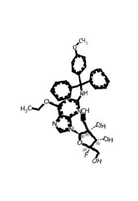 C#C[C@]1(O)[C@H](n2cnc3c(OCC)nc(NC(c4ccccc4)(c4ccccc4)c4ccc(OC)cc4)nc32)O[C@](F)(CO)[C@H]1O